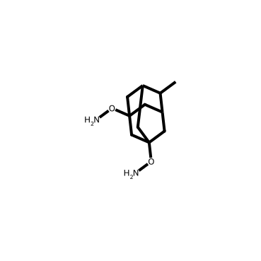 CC1C2CC3(ON)CC1CC(ON)(C2)C3